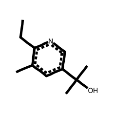 CCc1ncc(C(C)(C)O)cc1C